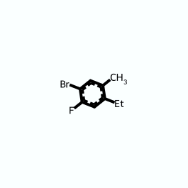 CCc1cc(F)c(Br)cc1C